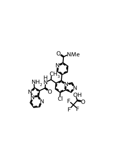 CNC(=O)c1ccc(-c2c(C(C)NC(=O)c3c(N)nn4cccnc34)cc(Cl)c3cncn23)cn1.O=C(O)C(F)(F)F